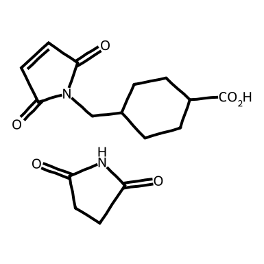 O=C(O)C1CCC(CN2C(=O)C=CC2=O)CC1.O=C1CCC(=O)N1